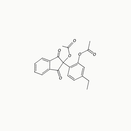 CCc1ccc(C2(OC(C)=O)C(=O)c3ccccc3C2=O)c(OC(C)=O)c1